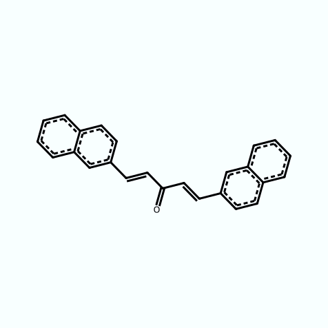 O=C(C=Cc1ccc2ccccc2c1)C=Cc1ccc2ccccc2c1